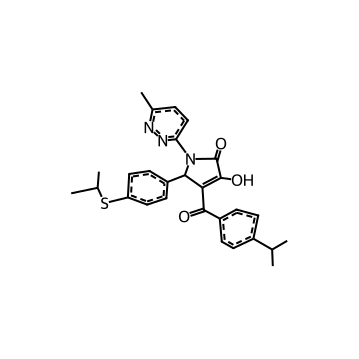 Cc1ccc(N2C(=O)C(O)=C(C(=O)c3ccc(C(C)C)cc3)C2c2ccc(SC(C)C)cc2)nn1